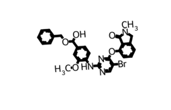 COc1cc(C(O)OCc2ccccc2)ccc1Nc1ncc(Br)c(Oc2cccc3c2C(=O)N(C)C3)n1